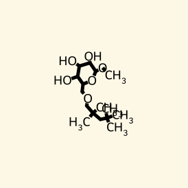 COC1OC(COCC(C)(C)CC(C)(C)C)C(O)C(O)C1O